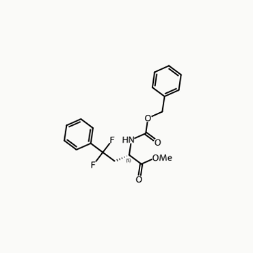 COC(=O)[C@H](CC(F)(F)c1ccccc1)NC(=O)OCc1ccccc1